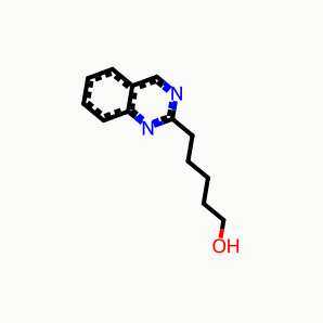 OCCCCCc1ncc2ccccc2n1